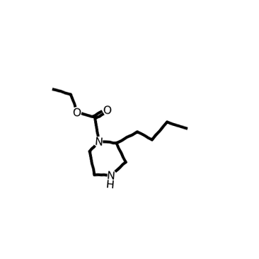 CCCCC1CNCCN1C(=O)OCC